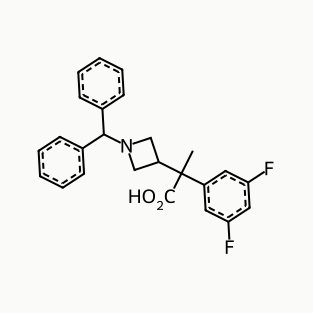 CC(C(=O)O)(c1cc(F)cc(F)c1)C1CN(C(c2ccccc2)c2ccccc2)C1